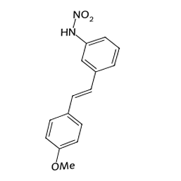 COc1ccc(C=Cc2cccc(N[N+](=O)[O-])c2)cc1